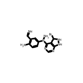 N=Cc1cc(N(N)c2ncnc3c2C(Br)NN3)ccc1N